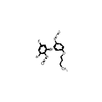 CCCCOc1ccc(N=C=O)cc1.O=C=Nc1c(Br)cc(F)cc1Br